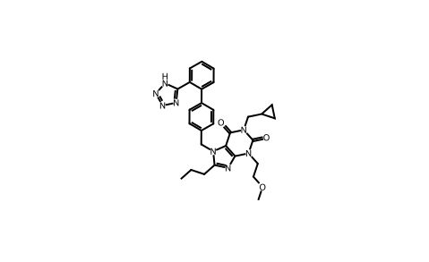 CCCc1nc2c(c(=O)n(CC3CC3)c(=O)n2CCOC)n1Cc1ccc(-c2ccccc2-c2nnn[nH]2)cc1